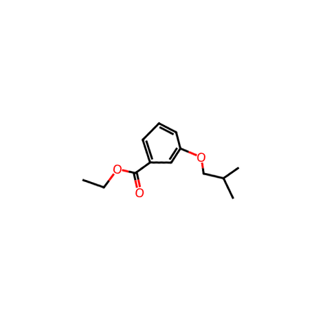 CCOC(=O)c1cccc(OCC(C)C)c1